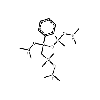 C[SiH](C)O[Si](C)(C)C[Si](O[SiH](C)C)(O[Si](C)(C)O[SiH](C)C)c1ccccc1